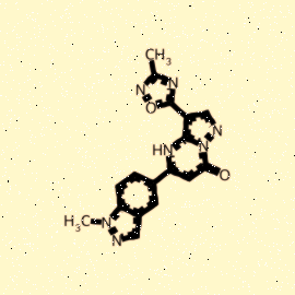 Cc1noc(-c2cnn3c(=O)cc(-c4ccc5c(cnn5C)c4)[nH]c23)n1